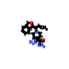 C=CC(C1OCc2ccccc21)N1CCC(N)(C(N)=O)CC1